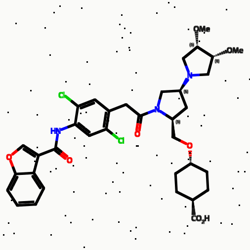 CO[C@H]1CN([C@H]2C[C@@H](CO[C@H]3CC[C@H](C(=O)O)CC3)N(C(=O)Cc3cc(Cl)c(NC(=O)c4coc5ccccc45)cc3Cl)C2)C[C@H]1OC